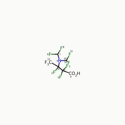 O=C(O)C(F)(F)C(F)(N(C(F)F)C(F)F)C(F)(F)F